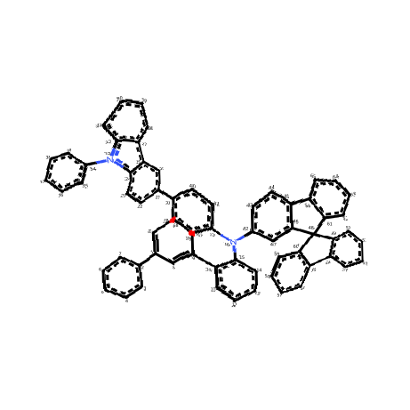 C1=C(c2ccccc2)C=C(c2ccccc2N(c2ccc(-c3ccc4c(c3)c3ccccc3n4-c3ccccc3)cc2)c2ccc3c(c2)C2(c4ccccc4-c4ccccc42)c2ccccc2-3)CC1